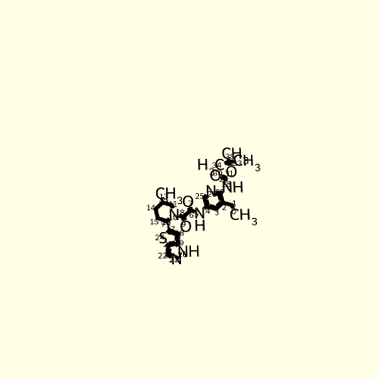 CCc1cc(NC(=O)C(=O)N2C[C@@H](C)CC[C@@H]2c2cc3[nH]ncc3s2)cnc1NC(=O)OC(C)(C)C